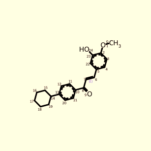 COc1ccc(/C=C/C(=O)c2ccc(C3CCCCC3)cc2)cc1O